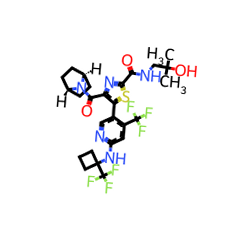 CC(C)(O)CNC(=O)c1nc(C(=O)N2[C@H]3CC[C@H]2CC3)c(-c2cnc(NC3(C(F)(F)F)CCC3)cc2C(F)(F)F)s1